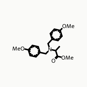 COC(=O)C(C)N(Cc1ccc(OC)cc1)Cc1ccc(OC)cc1